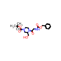 CC(C)(C)OC(=O)N1CCN(C(=O)CNC(=O)OCc2ccccc2)C(CO)C1